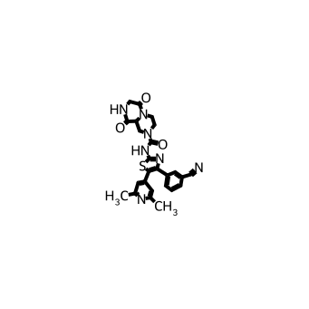 Cc1cc(-c2sc(NC(=O)N3CCN4C(=O)CNC(=O)C4C3)nc2-c2cccc(C#N)c2)cc(C)n1